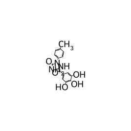 Cc1ccc(N(NC(=O)c2cc(O)c(O)c(O)c2)C(N)=O)cc1